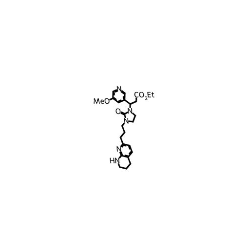 CCOC(=O)CC(c1cncc(OC)c1)N1CCN(CCCc2ccc3c(n2)NCCC3)C1=O